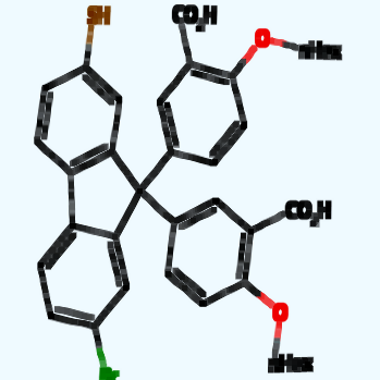 CCCCCCOc1ccc(C2(c3ccc(OCCCCCC)c(C(=O)O)c3)c3cc(S)ccc3-c3ccc(Br)cc32)cc1C(=O)O